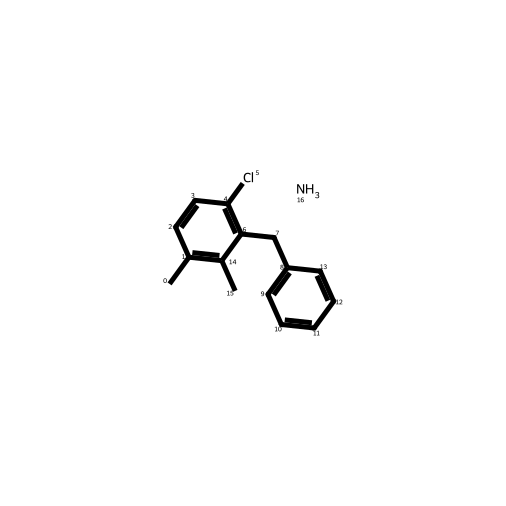 Cc1ccc(Cl)c(Cc2ccccc2)c1C.N